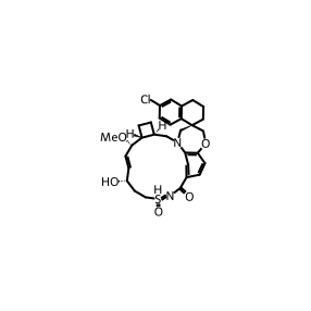 CO[C@H]1/C=C/[C@@H](O)CC/[SH](=O)=N\C(=O)c2ccc3c(c2)N(C[C@@H]2CC[C@H]21)C[C@@]1(CCCc2cc(Cl)ccc21)CO3